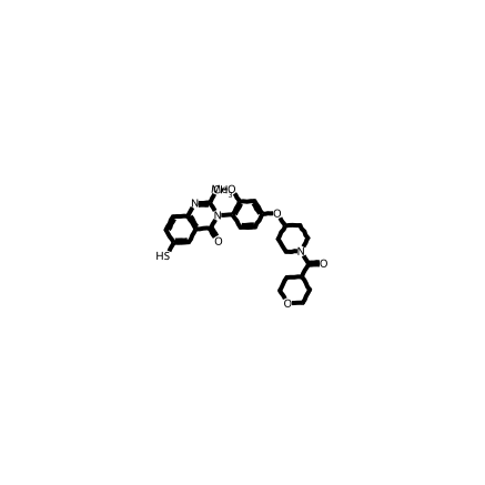 COc1cc(OC2CCN(C(=O)C3CCOCC3)CC2)ccc1-n1c(C)nc2ccc(S)cc2c1=O